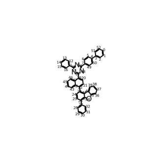 c1ccc(-c2ccc(-c3nc(-c4ccccc4)nc(-c4ccc(-c5ccc(-c6ccccc6)c6oc7ccccc7c56)c5ccccc45)n3)cc2)cc1